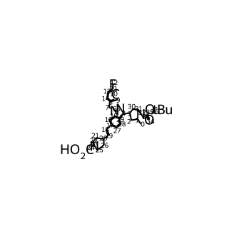 CC1CC(c2nn(Cc3ccc(F)cc3)c3cc(/C=C/C4CCN(C(=O)O)CC4)ccc23)CCN1C(=O)OC(C)(C)C